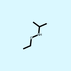 [CH2]C(C)NOCC